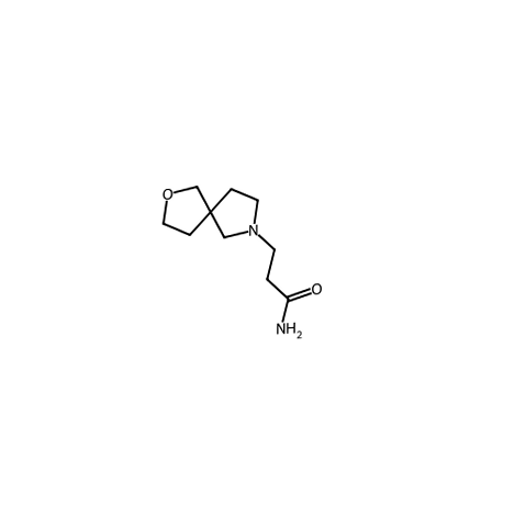 NC(=O)CCN1CCC2(CCOC2)C1